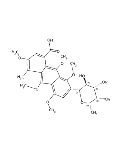 COc1cc(C(=O)O)c2c(OC)c3c(OC)c([C@H]4O[C@@H](C)[C@@H](O)[C@@H](O)[C@@H]4O)cc(OC)c3c(OC)c2c1C